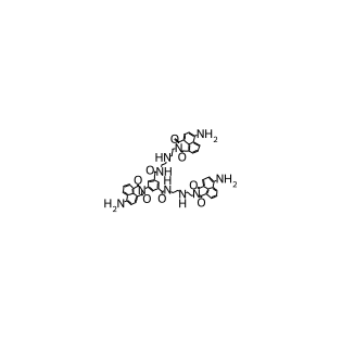 Nc1ccc2c3c(cccc13)C(=O)N(CCNCCNC(=O)c1cc(C(=O)NCCNCCN3C(=O)c4cccc5c(N)ccc(c45)C3=O)cc(N3C(=O)c4cccc5c(N)ccc(c45)C3=O)c1)C2=O